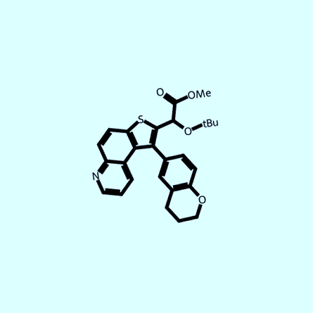 COC(=O)C(OC(C)(C)C)c1sc2ccc3ncccc3c2c1-c1ccc2c(c1)CCCO2